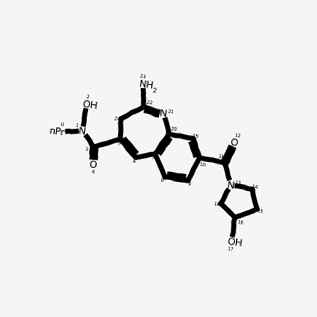 CCCN(O)C(=O)C1=Cc2ccc(C(=O)N3CCC(O)C3)cc2N=C(N)C1